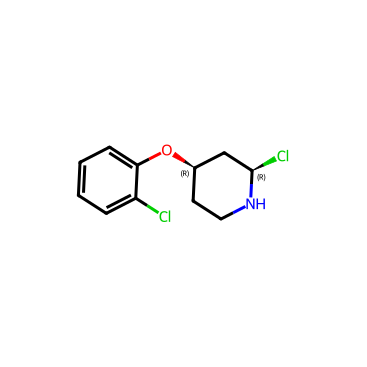 Clc1ccccc1O[C@@H]1CCN[C@H](Cl)C1